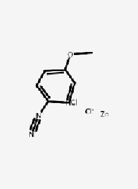 COc1ccc([N+]#N)cc1.Cl.[Cl-].[Zn]